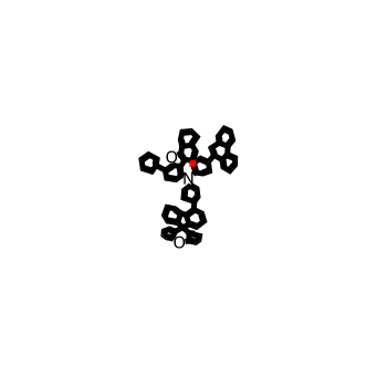 c1ccc(-c2ccc(N(c3ccc(-c4cccc5c4-c4ccccc4C54c5ccccc5Oc5ccccc54)cc3)c3ccc(-c4cc5ccccc5c5ccccc45)cc3)c3c2oc2c4ccccc4ccc23)cc1